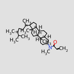 C=CC(=O)N(C)[C@H]1CC[C@@]2(C)[C@@H](CC[C@@H]3[C@@H]2CC[C@]2(C)C([C@H](C)CC[C@@H](C)C(C)C)CC[C@@H]32)C1